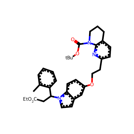 CCOC(=O)CC(c1ccccc1C)n1ccc2cc(OCCc3ccc4c(n3)N(C(=O)OC(C)(C)C)CCC4)ccc21